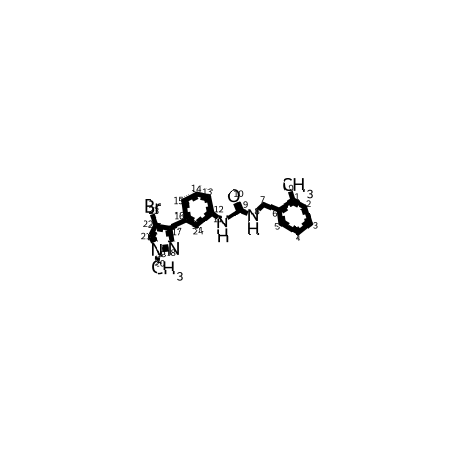 Cc1ccccc1CNC(=O)Nc1cccc(-c2nn(C)cc2Br)c1